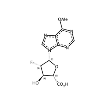 COc1ncnc2c1ncn2[C@@H]1O[C@H](C(=O)O)[C@@H](O)[C@@H]1F